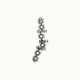 O=C(Nc1ccc(N2CCOCC2)cc1)c1ccc(-c2nc3cc(NC(=O)c4ccc(N5CCOCC5)cc4)ccc3[nH]2)cc1